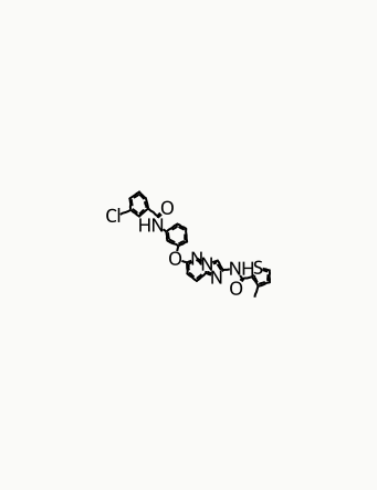 Cc1ccsc1C(=O)Nc1cn2nc(Oc3cccc(NC(=O)c4cccc(Cl)c4)c3)ccc2n1